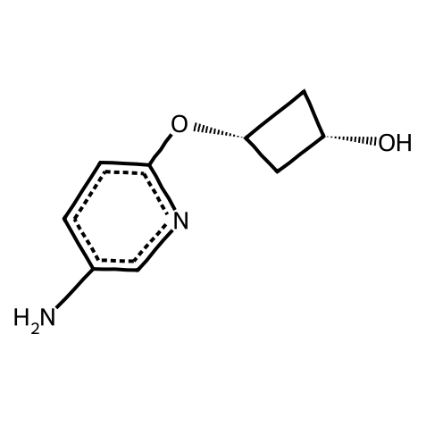 Nc1ccc(O[C@H]2C[C@@H](O)C2)nc1